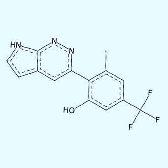 Cc1cc(C(F)(F)F)cc(O)c1-c1cc2cc[nH]c2nn1